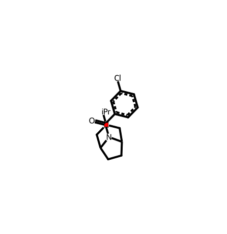 CC(C)N1CC2CCC(C1)N2C(=O)c1cccc(Cl)c1